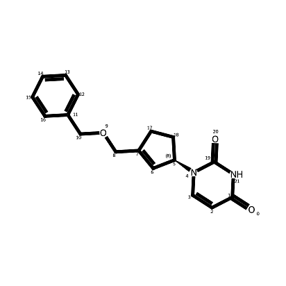 O=c1ccn([C@H]2C=C(COCc3ccccc3)CC2)c(=O)[nH]1